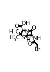 CC1(C)S[C@@H]2[C@H](NC(=O)CBr)C(=O)N2[C@H]1C(=O)O